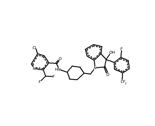 O=C(NC1CCC(CN2C(=O)C(O)(c3cc(C(F)(F)F)ccc3F)c3ccccc32)CC1)c1cc(Cl)cnc1C(F)F